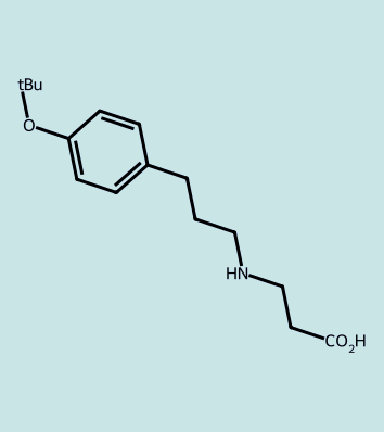 CC(C)(C)Oc1ccc(CCCNCCC(=O)O)cc1